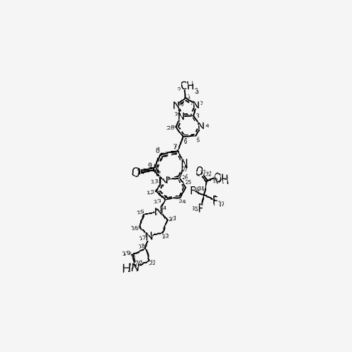 Cc1nc2ncc(-c3cc(=O)n4cc(N5CCN(C6CNC6)CC5)ccc4n3)cn2n1.O=C(O)C(F)(F)F